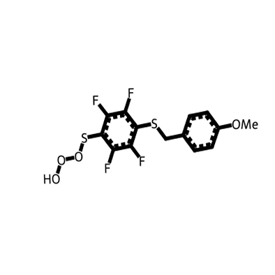 COc1ccc(CSc2c(F)c(F)c(SOOO)c(F)c2F)cc1